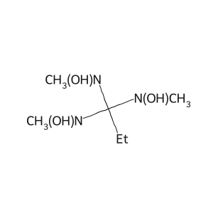 [CH2]CC(N(C)O)(N(C)O)N(C)O